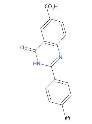 CC(C)c1ccc(-c2nc3ccc(C(=O)O)cc3c(=O)[nH]2)cc1